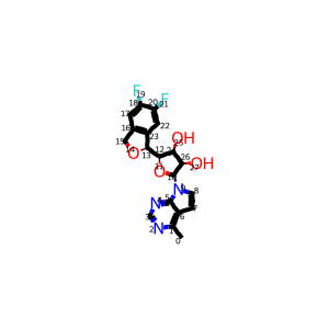 Cc1ncnc2c1ccn2[C@@H]1O[C@H]([C@@H]2OCc3cc(F)c(F)cc32)[C@@H](O)[C@H]1O